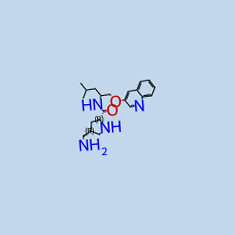 CC(C)CC(COc1cnc2ccccc2c1)NC(=O)[C@H]1C[C@H](CN)CN1